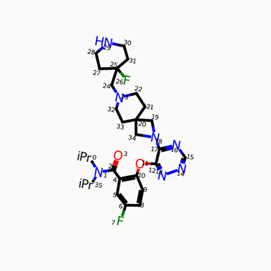 CC(C)N(C(=O)c1cc(F)ccc1Oc1nncnc1N1CC2(CCN(CC3(F)CCNCC3)CC2)C1)C(C)C